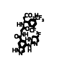 O=C(O)C[C@H](NC(=O)CNC(=O)c1cc(NC2=NCC(F)CN2)c2cn[nH]c2c1)c1cc(C(F)(F)F)cc(C(F)(F)F)c1